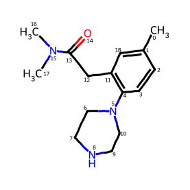 Cc1ccc(N2CCNCC2)c(CC(=O)N(C)C)c1